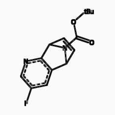 CC(C)(C)OC(=O)N1C2C=CC1c1ncc(F)cc12